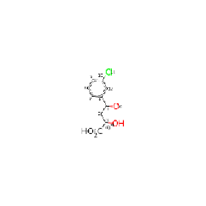 O=C(C[C@@H](O)C(=O)O)c1cccc(Cl)c1